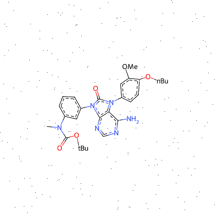 CCCCOc1ccc(-n2c(=O)n(-c3cccc(N(C)C(=O)OC(C)(C)C)c3)c3ncnc(N)c32)cc1OC